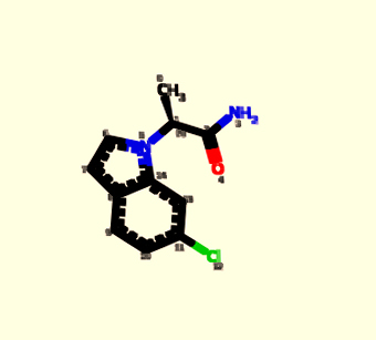 C[C@@H](C(N)=O)n1ccc2ccc(Cl)cc21